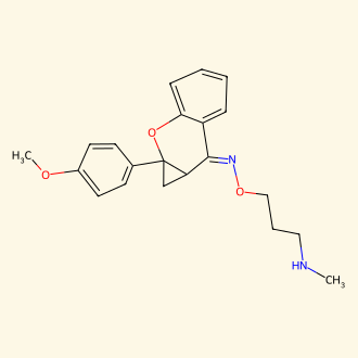 CNCCCON=C1c2ccccc2OC2(c3ccc(OC)cc3)CC12